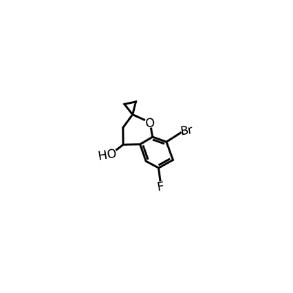 OC1CC2(CC2)Oc2c(Br)cc(F)cc21